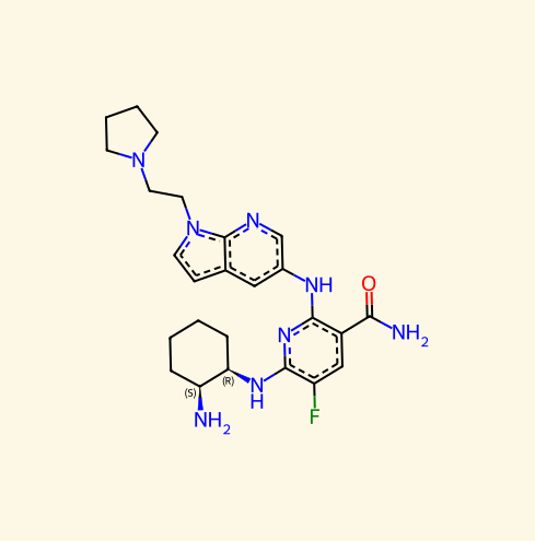 NC(=O)c1cc(F)c(N[C@@H]2CCCC[C@@H]2N)nc1Nc1cnc2c(ccn2CCN2CCCC2)c1